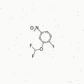 O=[N+]([O-])c1ccc(I)c(OC(F)F)c1